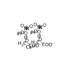 Cc1cc(OCc2ccc(Cn3nc(-c4ccccc4)cc3-c3ccccc3)c(OC(C)C)c2)ccc1CCC(=O)[O-].Cc1cc(OCc2ccc(Cn3nc(-c4ccccc4)cc3-c3ccccc3)c(OC(C)C)c2)ccc1CCC(=O)[O-].[Ca+2]